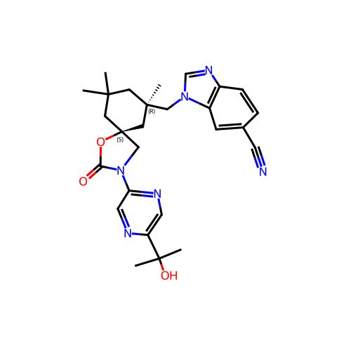 CC1(C)C[C@@](C)(Cn2cnc3ccc(C#N)cc32)C[C@]2(CN(c3cnc(C(C)(C)O)cn3)C(=O)O2)C1